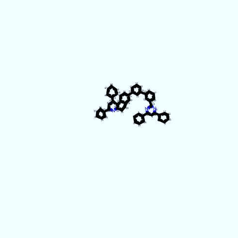 c1ccc(-c2cc(-c3ccccc3)nc(-c3cccc(-c4cccc(-c5ccc6c(ccc7nc(-c8ccccc8)cc(-c8ccccc8)c76)c5)c4)c3)n2)cc1